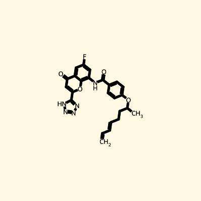 C=C/C=C/CCC(C)Oc1ccc(C(=O)Nc2cc(F)cc3c(=O)cc(-c4nnn[nH]4)oc23)cc1